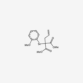 C=CCC([Se]c1ccccc1OC)(C(=O)OC)C(=O)OC